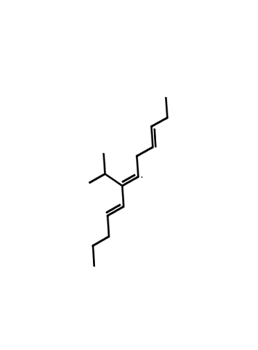 CCC=CC/[C]=C(/C=CCCC)C(C)C